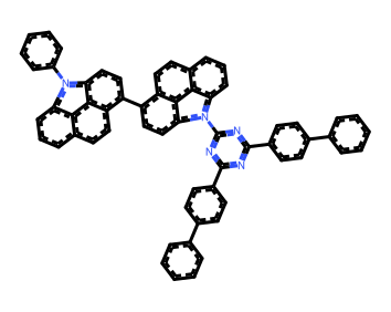 c1ccc(-c2ccc(-c3nc(-c4ccc(-c5ccccc5)cc4)nc(-n4c5cccc6ccc7c(-c8ccc9c%10c8ccc8cccc(c8%10)n9-c8ccccc8)ccc4c7c65)n3)cc2)cc1